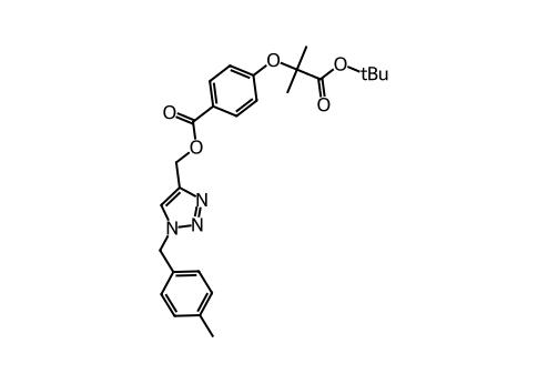 Cc1ccc(Cn2cc(COC(=O)c3ccc(OC(C)(C)C(=O)OC(C)(C)C)cc3)nn2)cc1